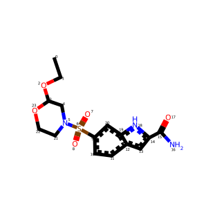 CCOC1CN(S(=O)(=O)c2ccc3cc(C(N)=O)[nH]c3c2)CCO1